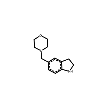 c1cc2c(cc1CN1CCOCC1)CCN2